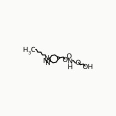 CCCCCCn1nnc2c1CCC1C(CC2)C1COC(=O)NCCOCCO